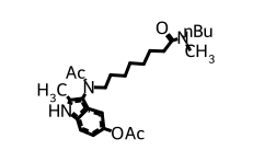 CCCCN(C)C(=O)CCCCCCCN(C(C)=O)c1c(C)[nH]c2ccc(OC(C)=O)cc12